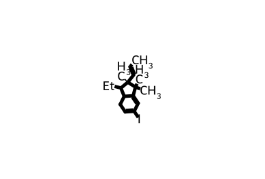 C/C=C/[C@]1(C)C(CC)C2CC=C(I)C=C2C1(C)C